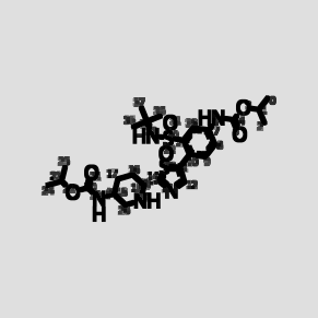 CC(C)OC(=O)Nc1ccc(-c2cnc([C@H]3CC[C@H](NC(=O)OC(C)C)CN3)s2)c(S(=O)(=O)NC(C)(C)C)c1